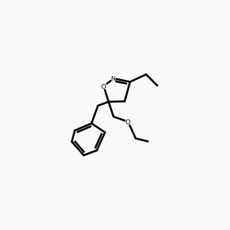 CCOCC1(Cc2ccccc2)CC(CC)=NO1